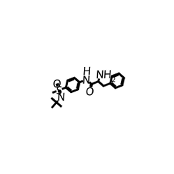 CC(C)(C)N=S(C)(=O)c1ccc(NC(=O)C(N)Cc2ccccc2)cc1